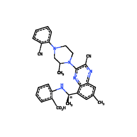 Cc1cc([C@@H](C)Nc2ccccc2C(=O)O)c2nc(N3CCN(c4ccccc4C#N)CC3C)c(C#N)nc2c1